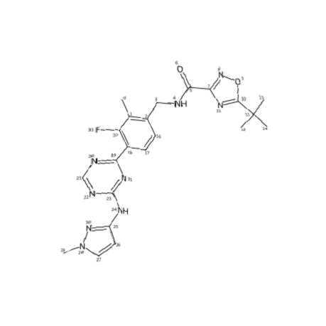 Cc1c(CNC(=O)c2noc(C(C)(C)C)n2)ccc(-c2ncnc(Nc3ccn(C)n3)n2)c1F